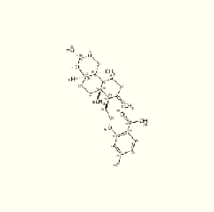 C=C1CCC2[C@]3(C)CO[C@@H](O)O[C@@H]3CC[C@@]2(C)[C@@H]1CCOc1cc(F)ccc1C(=O)O